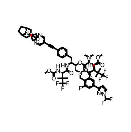 COC(=O)N[C@H](C(=O)N[C@@H](Cc1ccc(C#Cc2cnc(N3CC4CCC(C3)N4C3COC3)nc2)cc1)[C@H](CN(Cc1c(F)cc(-c2ccn(C(F)F)n2)cc1F)NC(=O)[C@@H](NC(=O)OC)C(C)(C)C(F)(F)F)OC(=O)[C@H](C(C)C)N(C)C)C(C)(C)C(F)(F)F